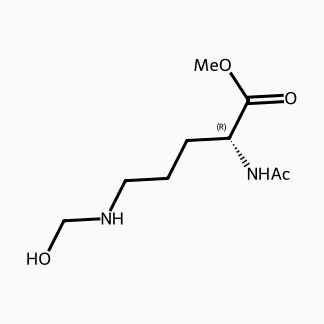 COC(=O)[C@@H](CCCNCO)NC(C)=O